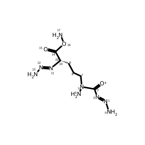 NN=NC(=O)N(N)CCC[C@H](N=NN)C(=O)ON